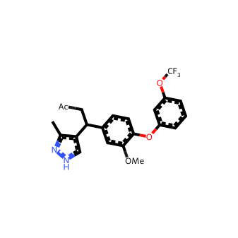 COc1cc(C(CC(C)=O)c2c[nH]nc2C)ccc1Oc1cccc(OC(F)(F)F)c1